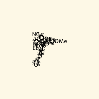 CCOc1ncccc1[C@]1(NC(=O)N2CC3(CN(CCN4CCOCC4)C3)C2)C(=O)N(S(=O)(=O)c2ccc(OC)cn2)c2ccc(C#N)cc21